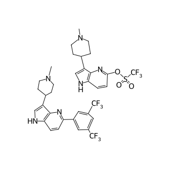 CN1CCC(c2c[nH]c3ccc(-c4cc(C(F)(F)F)cc(C(F)(F)F)c4)nc23)CC1.CN1CCC(c2c[nH]c3ccc(OS(=O)(=O)C(F)(F)F)nc23)CC1